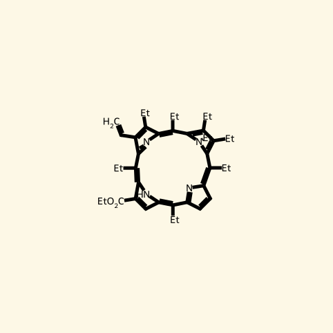 C=CC1=C(CC)c2nc1c(CC)c1[nH]c(cc1C(=O)OCC)c(CC)c1nc(c(CC)c3c(CC)c(CC)c(c2CC)n3CC)C=C1